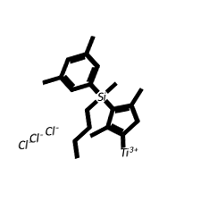 CCCC[Si](C)(C1=C(C)C[C]([Ti+3])=C1C)c1cc(C)cc(C)c1.[Cl-].[Cl-].[Cl-]